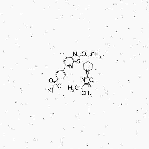 CC(C)c1noc(N2CCC(C(C)Oc3nc4ccc(-c5ccc(S(=O)(=O)C6CC6)cc5)nc4s3)CC2)n1